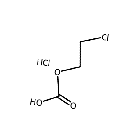 Cl.O=C(O)OCCCl